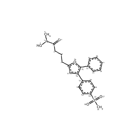 CN(O)C(=O)CCCc1nc(-c2ccc(S(C)(=O)=O)cc2)c(-c2ccccc2)o1